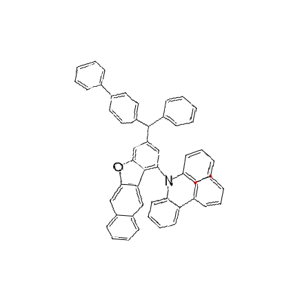 c1ccc(-c2ccc(C(c3ccccc3)c3cc(N(c4ccccc4)c4ccccc4-c4ccccc4)c4c(c3)oc3cc5ccccc5cc34)cc2)cc1